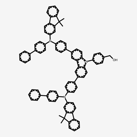 CC1(C)c2ccccc2-c2ccc(N(c3ccc(-c4ccccc4)cc3)c3ccc(-c4ccc5c(c4)c4cc(-c6ccc(N(c7ccc(-c8ccccc8)cc7)c7ccc8c(c7)C(C)(C)c7ccccc7-8)cc6)ccc4n5-c4ccc(CO)cc4)cc3)cc21